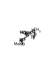 CNC(=O)c1cn(C[C@H](F)CCc2ccc(NC(=O)Cc3cc(OC4CC(F)(F)C4)cc(C)n3)nn2)nn1.Cl.Cl